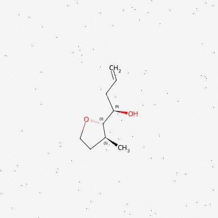 C=CC[C@@H](O)[C@H]1OCC[C@@H]1C